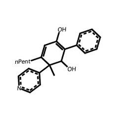 CCCCCC1=CC(O)=C(c2ccccc2)C(O)C1(C)c1ccncc1